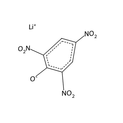 O=[N+]([O-])c1cc([N+](=O)[O-])c([O-])c([N+](=O)[O-])c1.[Li+]